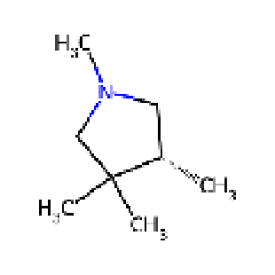 C[C@H]1CN(C)CC1(C)C